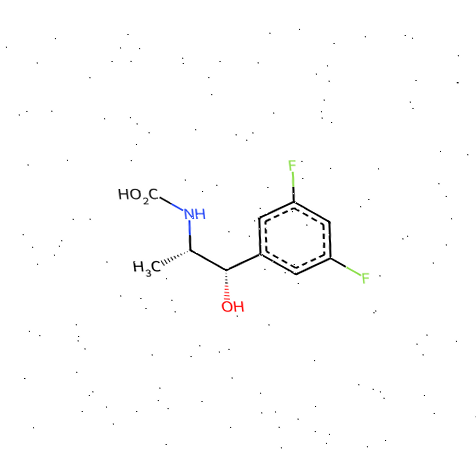 C[C@H](NC(=O)O)[C@@H](O)c1cc(F)cc(F)c1